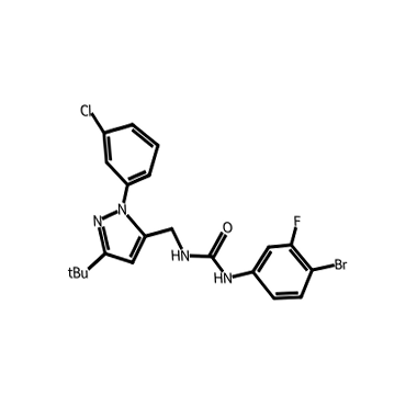 CC(C)(C)c1cc(CNC(=O)Nc2ccc(Br)c(F)c2)n(-c2cccc(Cl)c2)n1